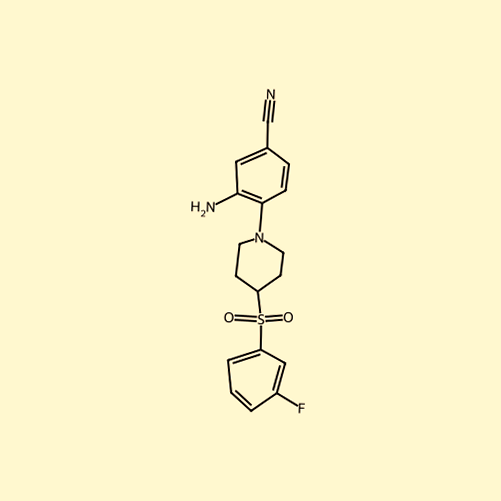 N#Cc1ccc(N2CCC(S(=O)(=O)c3cccc(F)c3)CC2)c(N)c1